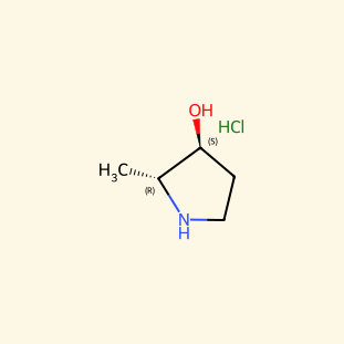 C[C@H]1NCC[C@@H]1O.Cl